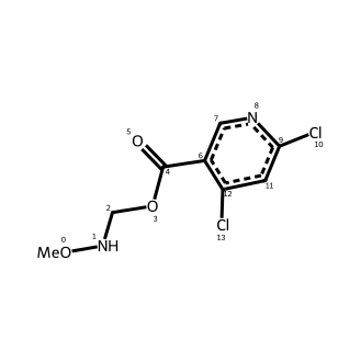 CONCOC(=O)c1cnc(Cl)cc1Cl